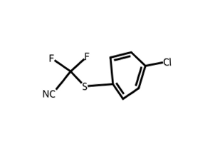 N#CC(F)(F)Sc1ccc(Cl)cc1